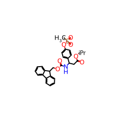 CC(C)OC(=O)CC(NC(=O)OCC1c2ccccc2-c2ccccc21)c1ccc(OS(C)(=O)=O)cc1